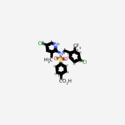 Cc1cc(Cl)cnc1N(Cc1ccc(Cl)cc1C(F)(F)F)S(=O)(=O)c1ccc(C(=O)O)cc1